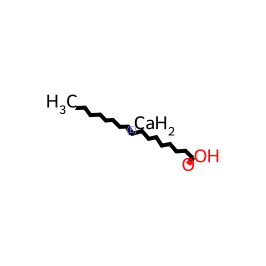 CCCCCCCC/C=C/CCCCCCCC(=O)O.[CaH2]